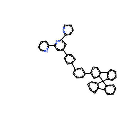 c1ccc(-c2cc(-c3ccc(-c4cccc(-c5ccc6c(c5)C5(c7ccccc7-c7ccccc75)c5ccccc5-6)c4)cc3)cc(-c3ccccn3)n2)nc1